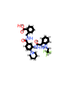 O=C(NCc1ccccc1C(=O)O)c1ccc(N2CCCCC2)c(NC(=O)c2nn(CC(F)(F)F)c3ccccc23)c1